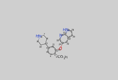 O=C(O)c1ccc(C2CCNCC2)cc1Oc1cnc2[nH]ccc2c1